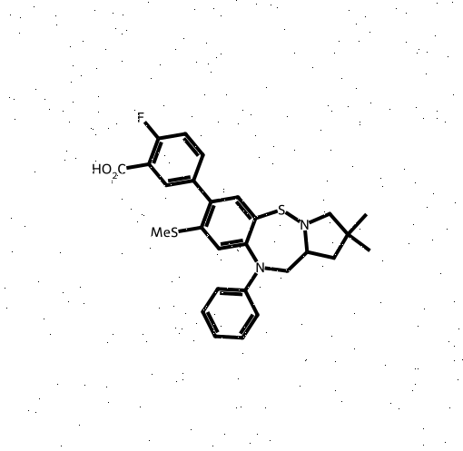 CSc1cc2c(cc1-c1ccc(F)c(C(=O)O)c1)SN1CC(C)(C)CC1CN2c1ccccc1